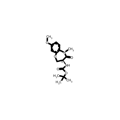 COc1ccc2c(c1)OC[C@H](NC(=O)OC(C)(C)C)C(=O)N2C